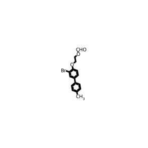 Cc1ccc(-c2ccc(OCCOC=O)c(Br)c2)cc1